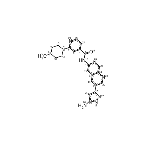 CN1CCN(c2cc(C(=O)Nc3cc4cc(-c5nnc(N)s5)cnc4cn3)ccn2)CC1